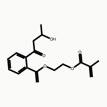 C=C(C)C(=O)OCCOC(=C)c1ccccc1C(=O)CC(C)O